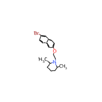 CC1CCCC(C)N1CCOc1ccc2cc(Br)ccc2c1